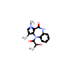 Cc1cn(C)c2c1N(C(=O)C(C)Br)c1ccccc1NC2=O